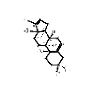 C[C@]1(O)CC[C@@]2(C)C(=CC[C@@H]3[C@@H]2CC[C@]2(C)C(I)=CC[C@@H]32)C1